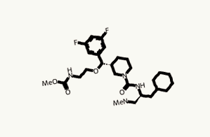 CNC[C@H](CC1CCCCC1)NC(=O)N1CCC[C@@H](C(OCCNC(=O)OC)c2cc(F)cc(F)c2)C1